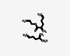 C=CCCC(=C)C(=O)O.C=CCCC(=C)C(=O)OCC=C